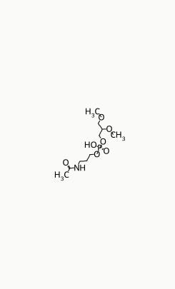 COCC(COP(=O)(O)OCCCNC(C)=O)OC